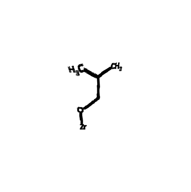 CC(C)C[O][Zr]